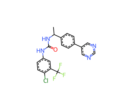 CC(NC(=O)Nc1ccc(Cl)c(C(F)(F)F)c1)c1ccc(-c2cncnc2)cc1